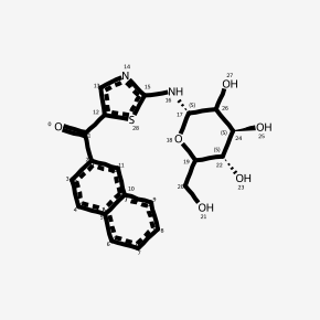 O=C(c1ccc2ccccc2c1)c1cnc(N[C@H]2OC(CO)[C@@H](O)[C@H](O)C2O)s1